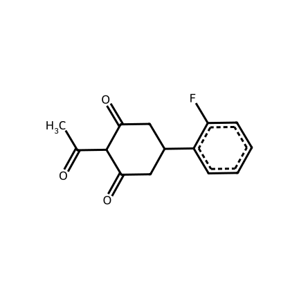 CC(=O)C1C(=O)CC(c2ccccc2F)CC1=O